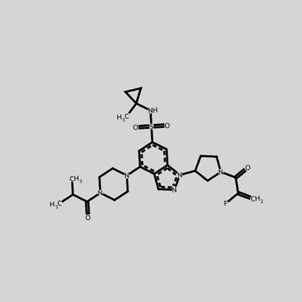 C=C(F)C(=O)N1CCC(n2ncc3c(N4CCN(C(=O)C(C)C)CC4)cc(S(=O)(=O)NC4(C)CC4)cc32)C1